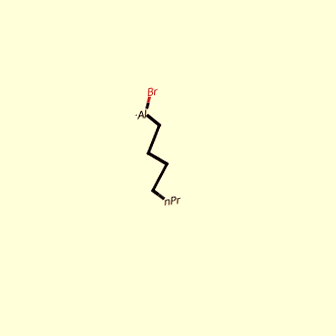 CCCCCC[CH2][Al][Br]